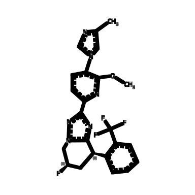 COc1nc(-c2nc3n(n2)C[C@H](F)C[C@@H]3c2ccccc2C(F)(F)F)ccc1-n1cnc(C)c1